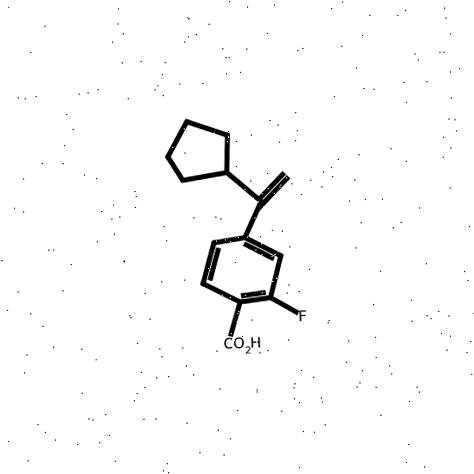 C=C(c1ccc(C(=O)O)c(F)c1)C1CCCC1